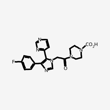 O=C(O)N1CCN(C(=O)Cn2cnc(-c3ccc(F)cc3)c2-c2ccncn2)CC1